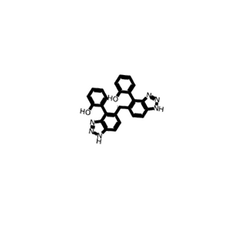 Oc1ccccc1-c1c([C]c2ccc3[nH]nnc3c2-c2ccccc2O)ccc2[nH]nnc12